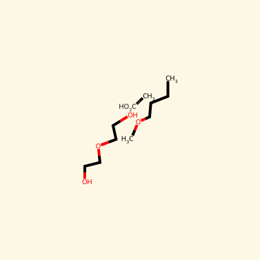 CC(=O)O.CCCCOC.OCCOCCO